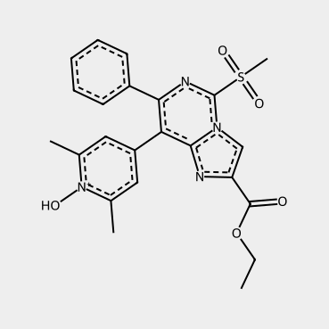 CCOC(=O)c1cn2c(S(C)(=O)=O)nc(-c3ccccc3)c(-c3cc(C)[n+](O)c(C)c3)c2n1